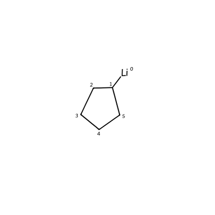 [Li][CH]1CCCC1